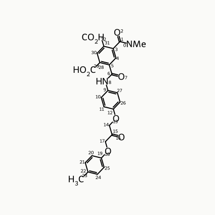 CNC(=O)c1cc(C(=O)Nc2ccc(OCC(=O)COc3ccc(C)cc3)cc2)c(C(=O)O)cc1C(=O)O